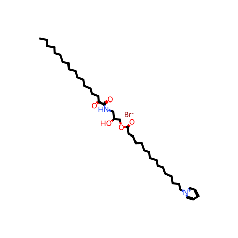 CCCCCCCCCCCCCCCCC(=O)C(=O)NCC(O)COC(=O)CCCCCCCCCCCCCCC[n+]1ccccc1.[Br-]